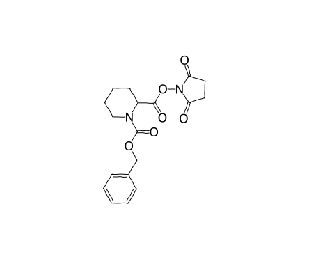 O=C(ON1C(=O)CCC1=O)C1CCCCN1C(=O)OCc1ccccc1